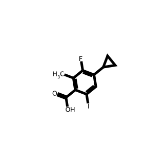 Cc1c(F)c(C2CC2)cc(I)c1C(=O)O